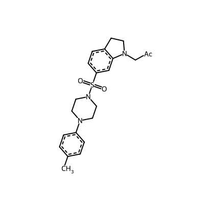 CC(=O)CN1CCc2ccc(S(=O)(=O)N3CCN(c4ccc(C)cc4)CC3)cc21